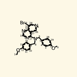 COc1ccc(CN(Cc2ccc(OC)cc2)c2ncnc3c(Br)cncc23)cc1